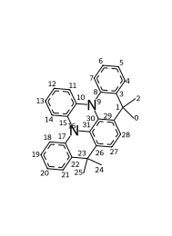 CC1(C)c2ccccc2N2c3ccccc3N3c4ccccc4C(C)(C)c4ccc1c2c43